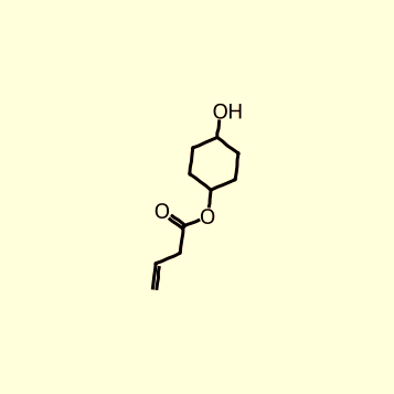 C=CCC(=O)OC1CCC(O)CC1